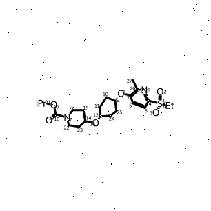 CCS(=O)(=O)c1ccc(O[C@H]2CC[C@H](OC3CCN(C(=O)OC(C)C)CC3)CC2)c(C)n1